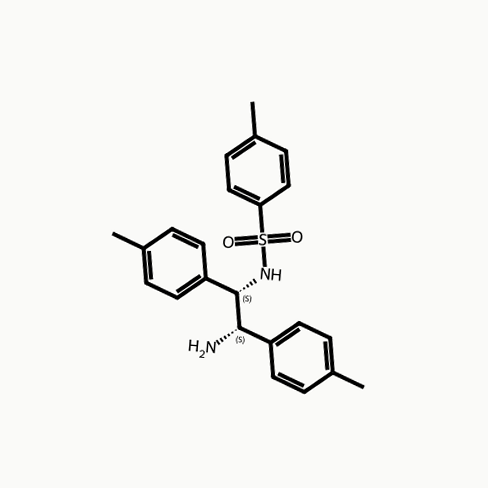 Cc1ccc([C@H](N)[C@@H](NS(=O)(=O)c2ccc(C)cc2)c2ccc(C)cc2)cc1